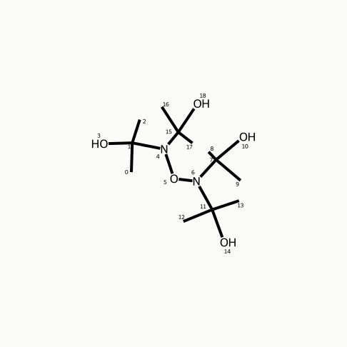 CC(C)(O)N(ON(C(C)(C)O)C(C)(C)O)C(C)(C)O